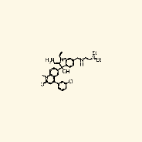 C=CN(C)/C(=C\N)C(O)(c1ccc(CNCCN(CC)CC)cc1)c1ccc2c(c1)c(-c1cccc(Cl)c1)cc(=O)n2C